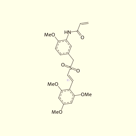 C=CC(=O)Nc1cc(CS(=O)(=O)/C=C/c2c(OC)cc(OC)cc2OC)ccc1OC